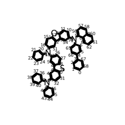 c1ccc(-c2ccc(N(c3ccc4oc5ccc(N(c6ccccc6)c6ccc7sc8ccc(N(c9ccccc9)c9ccccc9)cc8c7c6)cc5c4c3)c3cccc4ccccc34)cc2)cc1